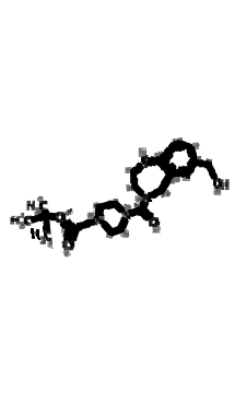 CC(C)(C)OC(=O)N1CCN(C(=O)N2CCSc3ccc(CO)cc3C2)CC1